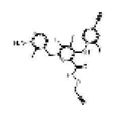 C#CCONC(=O)c1cc(Cc2ccnc(N)c2F)c(F)c(F)c1Nc1ccc(C#C)cc1F